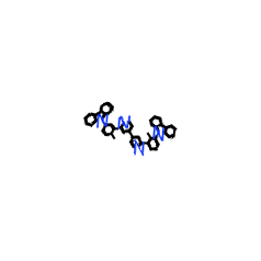 Cc1ccc(-n2c3ccccc3c3ccccc32)cc1-c1cc(-c2ccnc(-c3cccc(-n4c5ccccc5c5ccccc54)c3C)c2)ccn1